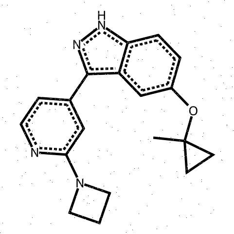 CC1(Oc2ccc3[nH]nc(-c4ccnc(N5CCC5)c4)c3c2)CC1